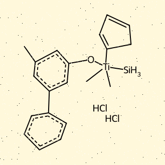 Cc1cc([O][Ti]([CH3])([CH3])([SiH3])[C]2=CC=CC2)cc(-c2ccccc2)c1.Cl.Cl